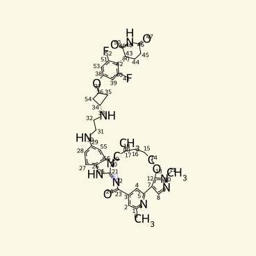 Cc1cc2cc(n1)-c1cnn(C)c1OCCC[C@@H](C)CN1/C(=N/C2=O)Nc2ccc(NCCN[C@H]3C[C@H](Oc4cc(F)c([C@H]5CCC(=O)NC5=O)c(F)c4)C3)cc21